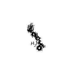 Cn1cc(C(N)CC2CCN(c3ncc(-c4noc(C(F)(F)F)n4)cn3)CC2)c2ccccc21